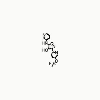 ON1C(c2ccc(OC(F)(F)F)cn2)=NOC1Nc1cccnc1